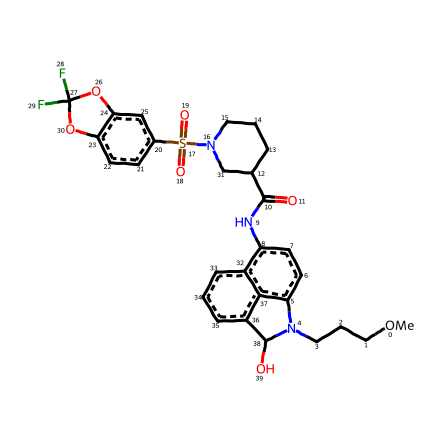 COCCCN1c2ccc(NC(=O)C3CCCN(S(=O)(=O)c4ccc5c(c4)OC(F)(F)O5)C3)c3cccc(c23)C1O